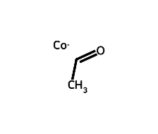 CC=O.[Co]